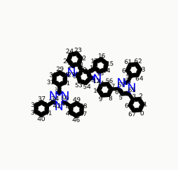 c1ccc(-c2cc(-c3cccc(-n4c5ccccc5c5c6c7ccccc7n(-c7cccc(-c8nc(-c9ccccc9)nc(-c9ccccc9)n8)c7)c6ccc54)c3)nc(-c3ccccc3)n2)cc1